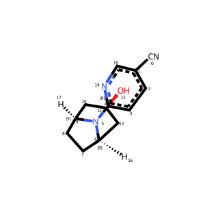 N#Cc1ccc(N2[C@@H]3CC[C@H]2C[C@@H](O)C3)nc1